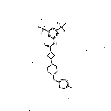 Cc1ccc(CN2CCN(C3CN(C(=O)Nc4cc(C(F)(F)F)cc(C(F)(F)F)c4)C3)CC2)cc1